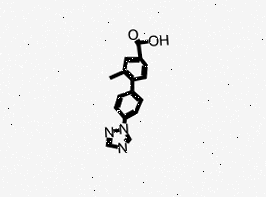 Cc1cc(C(=O)O)ccc1-c1ccc(-n2cncn2)cc1